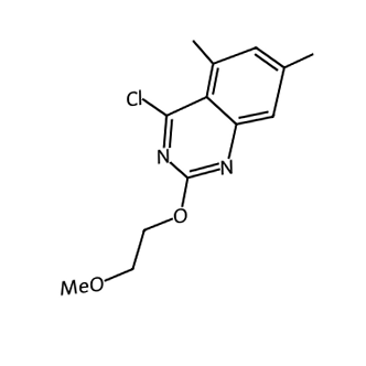 COCCOc1nc(Cl)c2c(C)cc(C)cc2n1